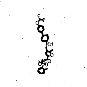 Cc1ccccc1S(=O)(=O)NC(=O)c1cc(CNc2ccc(-c3ccc(OC(F)F)cc3)cc2)c(C)o1